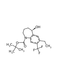 CCc1cc2c(cc1C(F)(F)F)N(C(=O)OC(C)(C)C)CCC[C@H]2O